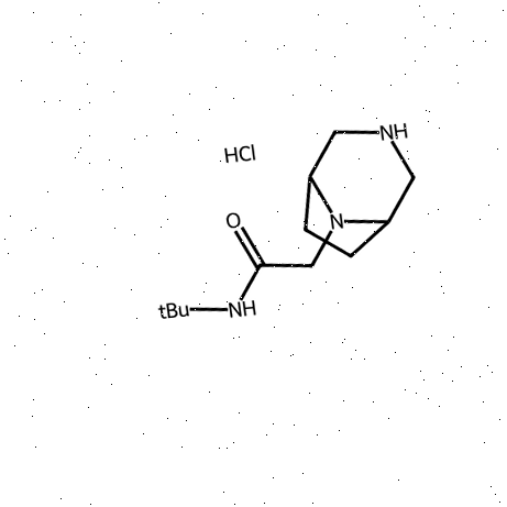 CC(C)(C)NC(=O)CN1C2CCC1CNC2.Cl